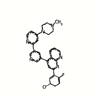 CN1CCN(c2ccnc(-c3cncc(-c4cc(C5=CC(Cl)CC=C5F)nc5ncccc45)c3)c2)CC1